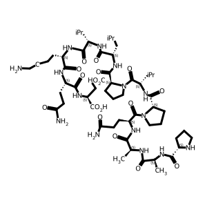 CC(C)C[C@H](NC(=O)[C@@H]1CCCN1C(=O)[C@@H](NC(=O)[C@@H]1CCCN1C(=O)[C@H](CCC(N)=O)NC(=O)[C@H](C)NC(=O)[C@H](C)NC(=O)[C@@H]1CCCN1)C(C)C)C(=O)N[C@H](C(=O)N[C@@H](CCCCN)C(=O)N[C@@H](CCC(N)=O)C(=O)N[C@@H](CC(=O)O)C(=O)O)C(C)C